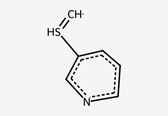 [CH]=[SH]c1cccnc1